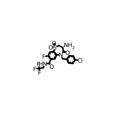 N[C@H]1CS(=O)(=O)c2cc(F)c(C(=O)NCC(F)(F)F)cc2N(Cc2ccc(Cl)cc2)C1=O